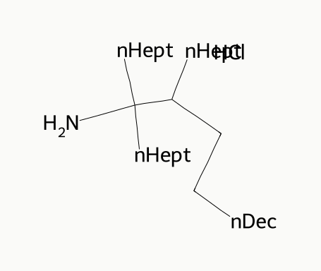 CCCCCCCCCCCCC(CCCCCCC)C(N)(CCCCCCC)CCCCCCC.Cl